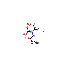 COC(=O)CN1C(=O)COCC1C